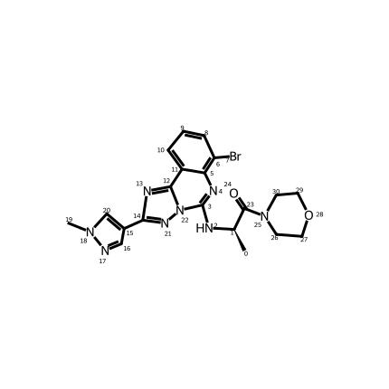 C[C@@H](Nc1nc2c(Br)cccc2c2nc(-c3cnn(C)c3)nn12)C(=O)N1CCOCC1